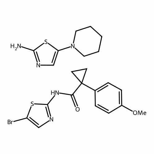 COc1ccc(C2(C(=O)Nc3ncc(Br)s3)CC2)cc1.Nc1ncc(N2CCCCC2)s1